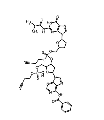 CC(C)C(=O)Nc1nc2c(ncn2C2CCC(COP(=S)(OCCC#N)O[C@H]3CC(n4cnc5c(NC(=O)c6ccccc6)ncnc54)OC3COP(O)(=S)OCCC#N)O2)c(=O)[nH]1